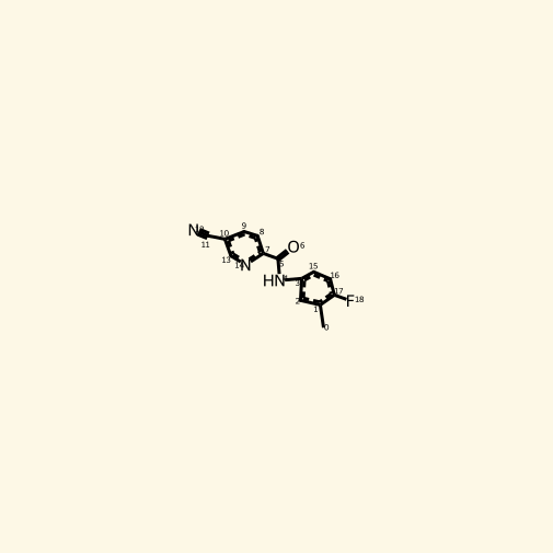 Cc1cc(NC(=O)c2ccc(C#N)cn2)ccc1F